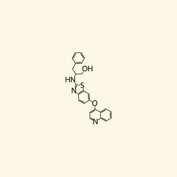 OCC(Cc1ccccc1)Nc1nc2ccc(Oc3ccnc4ccccc34)cc2s1